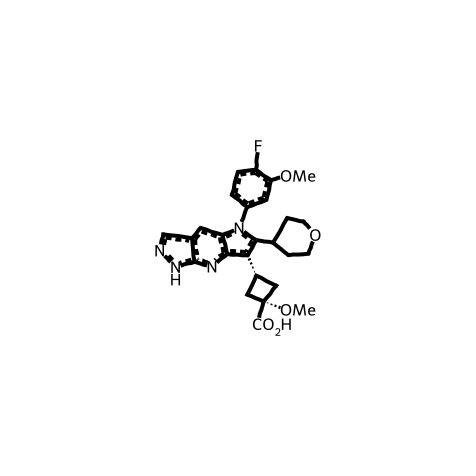 COc1cc(-n2c(C3CCOCC3)c([C@H]3C[C@](OC)(C(=O)O)C3)c3nc4[nH]ncc4cc32)ccc1F